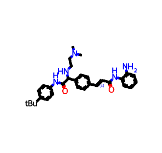 CN(C)CCNC(C(=O)Nc1ccc(C(C)(C)C)cc1)c1ccc(/C=C/C(=O)Nc2ccccc2N)cc1